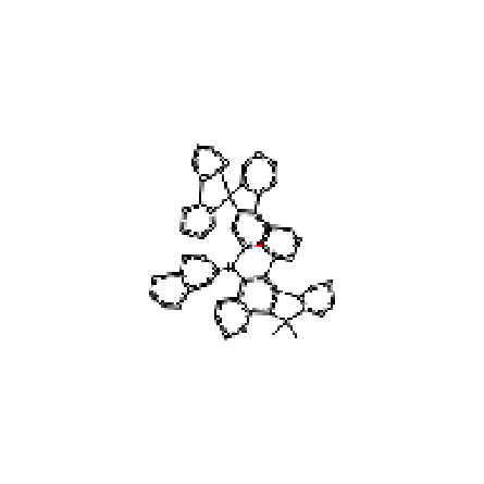 CC1(C)c2ccccc2-c2c(-c3ccccc3)c(N(c3ccc4c(c3)C3(c5ccccc5-c5ccccc53)c3ccccc3-4)c3ccc4ccccc4c3)c3ccccc3c21